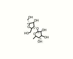 CC1O[C@@H](O[C@@H]2C(CO)O[C@H](CO)C2O)C(O)C(O)[C@@H]1O